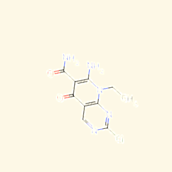 CCn1c(N)c(C(N)=O)c(=O)c2cnc(Cl)nc21